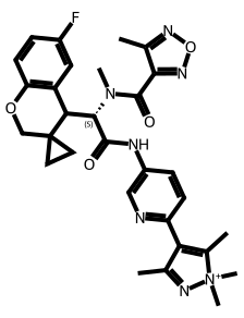 CC1=N[N+](C)(C)C(C)=C1c1ccc(NC(=O)[C@H](C2c3cc(F)ccc3OCC23CC3)N(C)C(=O)c2nonc2C)cn1